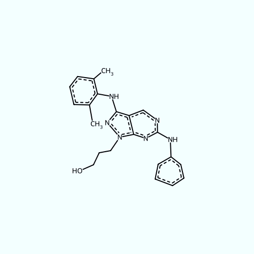 Cc1cccc(C)c1Nc1nn(CCCO)c2nc(Nc3ccccc3)ncc12